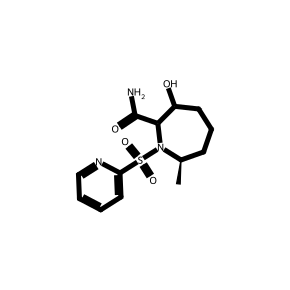 C[C@@H]1CC[CH]C(O)C(C(N)=O)N1S(=O)(=O)c1ccccn1